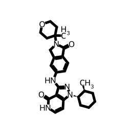 C[C@H]1CCCC[C@@H]1n1nc(Nc2ccc3c(c2)CN(C2(C)CCOCC2)C3=O)c2c(=O)[nH]ccc21